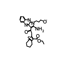 CCOC(=O)c1c(CC(=O)c2c(N)n(CCCOC)c3nc4ccccc4nc23)sc2c1CCCC2